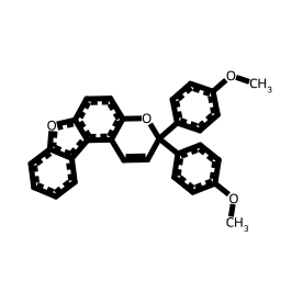 COc1ccc(C2(c3ccc(OC)cc3)C=Cc3c(ccc4oc5ccccc5c34)O2)cc1